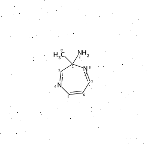 CC1(N)C=NC=CC=N1